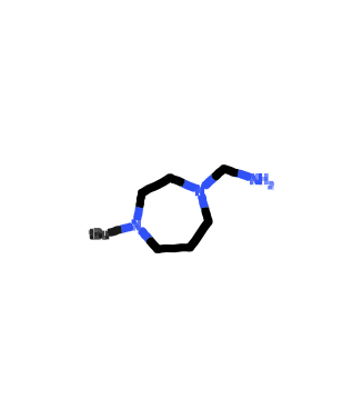 CC(C)(C)N1CCCN(CN)CC1